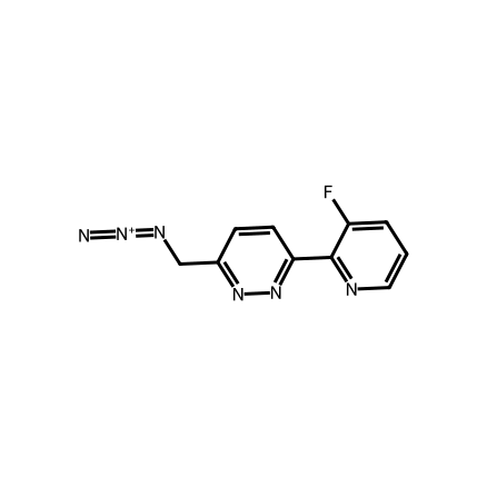 [N-]=[N+]=NCc1ccc(-c2ncccc2F)nn1